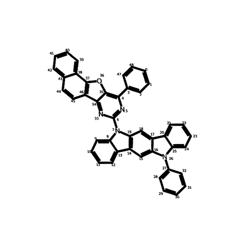 c1ccc(-c2nc(-n3c4ccccc4c4cc5c(cc43)c3ccccc3n5-c3ccccc3)nc3c2oc2c4ccccc4ccc32)cc1